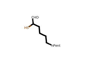 CCCCCCCCCC(S)[C]=O